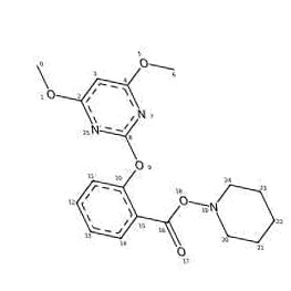 COc1cc(OC)nc(Oc2ccccc2C(=O)ON2CCCCC2)n1